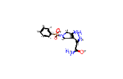 NC(=O)c1n[nH]c2c1CN(S(=O)(=O)c1ccccc1)C2